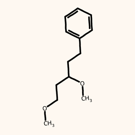 COCCC(CCc1ccccc1)OC